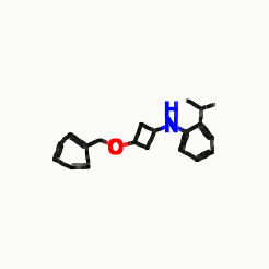 CC(C)c1ccccc1NC1CC(OCc2ccccc2)C1